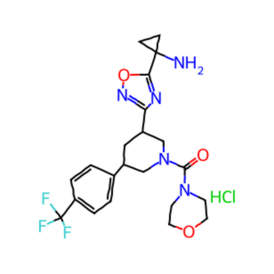 Cl.NC1(c2nc(C3CC(c4ccc(C(F)(F)F)cc4)CN(C(=O)N4CCOCC4)C3)no2)CC1